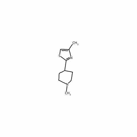 Cc1csc(C2CCN(C)CC2)n1